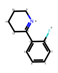 Fc1ccccc1C1=NCCCC1